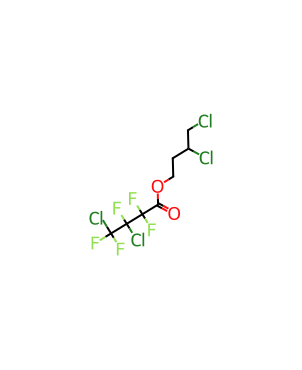 O=C(OCCC(Cl)CCl)C(F)(F)C(F)(Cl)C(F)(F)Cl